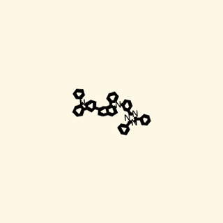 c1ccc(-c2nc(-c3ccccc3)nc(-c3cccc(-n4c5ccccc5c5c6cc(-c7ccc8c(c7)c7ccccc7n8-c7ccccc7)ccc6ccc54)c3)n2)cc1